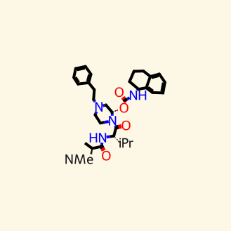 CN[C@@H](C)C(=O)N[C@H](C(=O)N1CCN(CCc2ccccc2)C[C@@H]1OC(=O)NC1CCCc2ccccc21)C(C)C